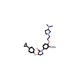 COc1cc(N2CC[C@H](Oc3ccc(C4CC4)cc3)C2=O)ccc1OCCN1CC[C@@H](N(C)C)C1